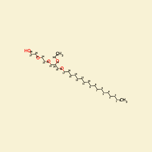 CCCCCCCCCCCCCCCCCCOCC(COCCOCCO)OCC